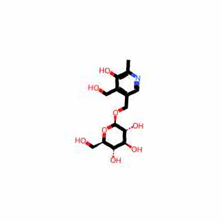 Cc1ncc(CO[C@@H]2O[C@H](CO)[C@@H](O)[C@H](O)[C@H]2O)c(CO)c1O